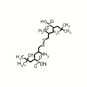 CC(C)(C)CC(CC(N)CSSCC(N)CC(CC(C)(C)C)S(=O)(=O)O)S(=O)(=O)O